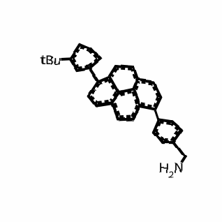 CC(C)(C)c1cccc(-c2ccc3ccc4c(-c5ccc(CN)cc5)ccc5ccc2c3c54)c1